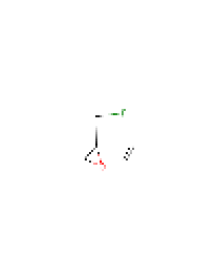 C=C.FCC1CO1